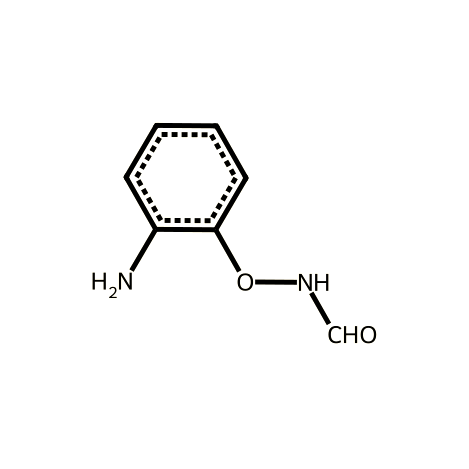 Nc1ccccc1ONC=O